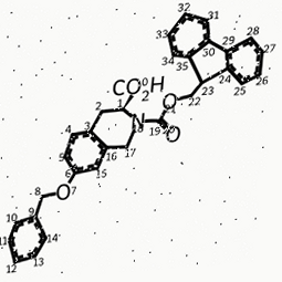 O=C(O)[C@@H]1Cc2ccc(OCc3ccccc3)cc2CN1C(=O)OCC1c2ccccc2-c2ccccc21